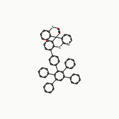 c1ccc(-c2cc(-c3ccccc3)c(-c3ccccc3)c(-c3ccc(-c4cccc5c4Sc4ncccc4C54c5ccccc5Sc5ccccc54)cc3)c2-c2ccccc2)cc1